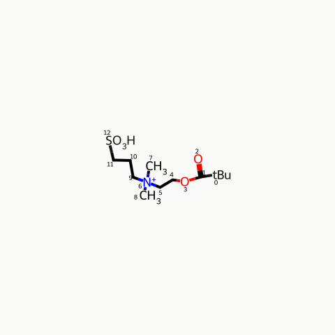 CC(C)(C)C(=O)OCC[N+](C)(C)CCCS(=O)(=O)O